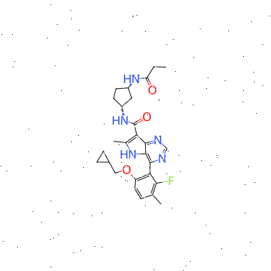 CCC(=O)N[C@@H]1CC[C@H](NC(=O)c2c(C)[nH]c3c(-c4c(OCC5CC5)ccc(C)c4F)ncnc23)C1